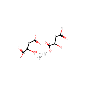 O=C([O-])CC(O)C(=O)[O-].O=C([O-])CC(O)C(=O)[O-].[Li+].[Li+].[Li+].[Li+]